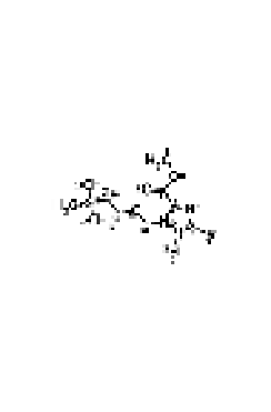 [2H]c1c(Br)nc(C(=O)OC)n1COCC[Si](C)(C)C